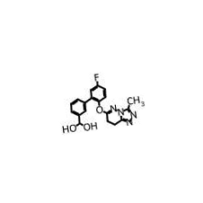 Cc1nnc2n1N=C(Oc1ccc(F)cc1-c1cccc(C(O)O)c1)CC2